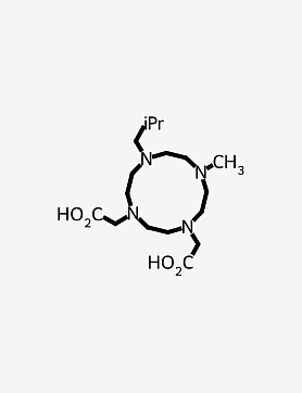 CC(C)CN1CCN(C)CCN(CC(=O)O)CCN(CC(=O)O)CC1